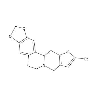 CCc1cc2c(s1)CC1c3cc4c(cc3CCN1C2)OCO4